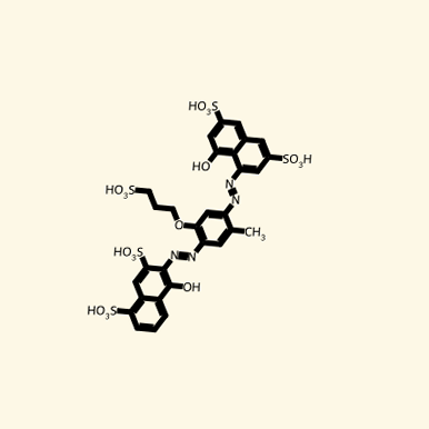 Cc1cc(N=Nc2c(S(=O)(=O)O)cc3c(S(=O)(=O)O)cccc3c2O)c(OCCCS(=O)(=O)O)cc1N=Nc1cc(S(=O)(=O)O)cc2cc(S(=O)(=O)O)cc(O)c12